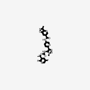 Cc1noc2cc(C(=O)Nc3ccc(-c4nnn(C)c4NC(=O)O[C@H](C)c4cc(F)cnc4F)nc3)cnc12